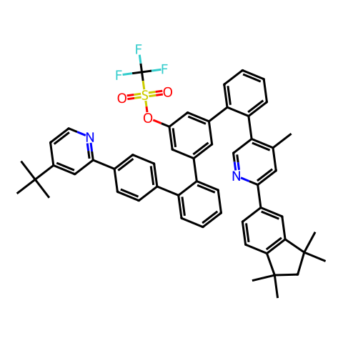 Cc1cc(-c2ccc3c(c2)C(C)(C)CC3(C)C)ncc1-c1ccccc1-c1cc(OS(=O)(=O)C(F)(F)F)cc(-c2ccccc2-c2ccc(-c3cc(C(C)(C)C)ccn3)cc2)c1